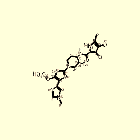 Cc1[nH]c(C(=O)N[C@@H]2CCN(c3nc(-c4cn(C)cn4)c(OC(=O)O)s3)C[C@@H]2F)c(Cl)c1Cl